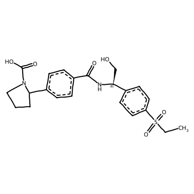 CCS(=O)(=O)c1ccc([C@H](CO)NC(=O)c2ccc(C3CCCN3C(=O)O)cc2)cc1